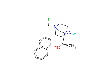 C[C@@H](Oc1cccc2ccccc12)C1C[N+]2(CCl)CC[N+]1(F)CC2